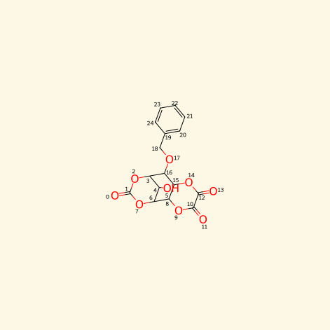 O=C1OC2C(O)C(O1)C1OC(=O)C(=O)OC1C2OCc1ccccc1